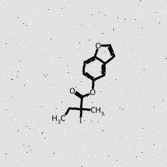 CCC(C)(I)C(=O)Oc1ccc2occc2c1